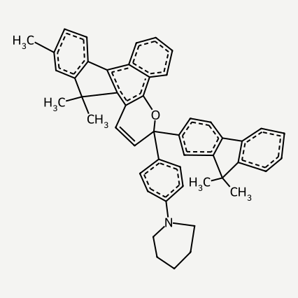 Cc1ccc2c(c1)C(C)(C)c1c3c(c4ccccc4c1-2)OC(c1ccc(N2CCCCC2)cc1)(c1ccc2c(c1)C(C)(C)c1ccccc1-2)C=C3